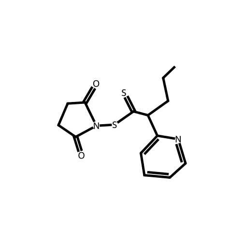 CCCC(C(=S)SN1C(=O)CCC1=O)c1ccccn1